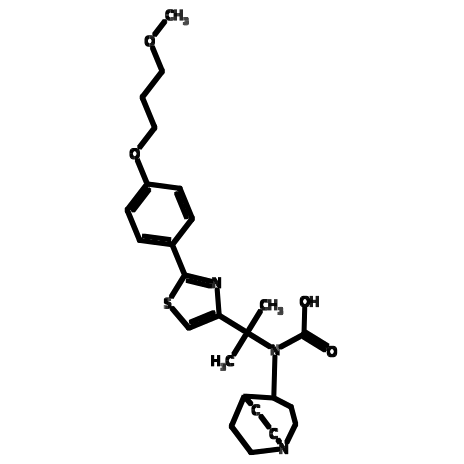 COCCCOc1ccc(-c2nc(C(C)(C)N(C(=O)O)C3CCN4CCC3CC4)cs2)cc1